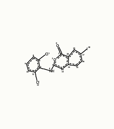 O=c1oc(Nc2c(Cl)cccc2Cl)nc2ccc(I)cc12